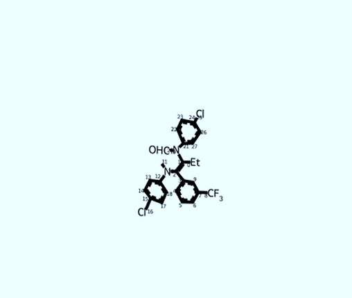 CC/C(=C(\c1cccc(C(F)(F)F)c1)N(C)c1ccc(Cl)cc1)N(C=O)c1ccc(Cl)cc1